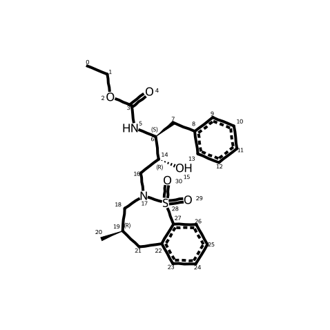 CCOC(=O)N[C@@H](Cc1ccccc1)[C@H](O)CN1C[C@H](C)Cc2ccccc2S1(=O)=O